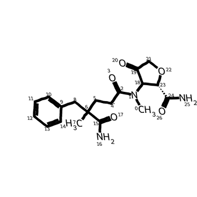 CN(C(=O)[CH]CC(C)(Cc1ccccc1)C(N)=O)C1C(=O)CO[C@@H]1C(N)=O